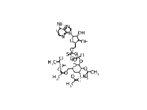 CC(=O)OC[C@@H](OC(C)=O)C1O[C@@H](OP(=O)(O)OP(O)(=S)OC[C@H]2O[C@@H](n3cnc4c(N)ncnc43)[C@@H](O)C2O)C(OC(C)=O)[C@@H](C)[C@@H]1OC(C)=O